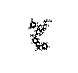 CC(C)(C)OC(=O)N1C[C@@H](c2cc(F)cc(F)c2)N(CC(=O)Nc2ccc3c(c2)C[C@@]2(C3)C(=O)Nc3ncccc32)C(=O)C1(C)C